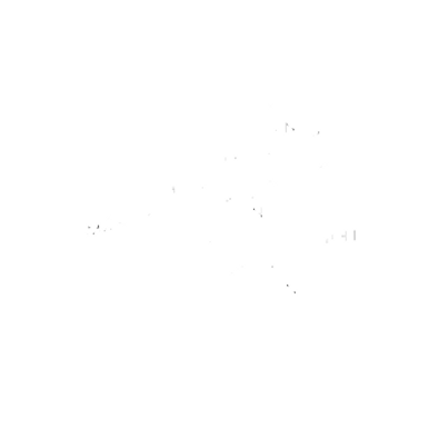 CCNC(=O)c1c(O)c(O)c(C(=O)N(C)C)n1-c1ccc(OC)cc1